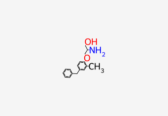 Cc1cc(Cc2ccccc2)ccc1OCC(N)CO